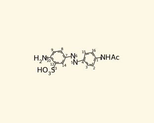 CC(=O)Nc1ccc(N=Nc2ccc(N)c(S(=O)(=O)O)c2)cc1